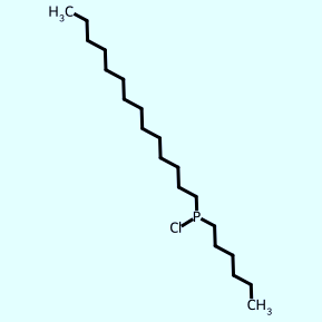 CCCCCCCCCCCCCCP(Cl)CCCCCC